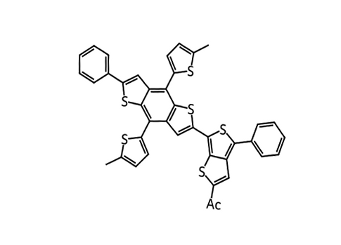 CC(=O)c1cc2c(-c3ccccc3)sc(-c3cc4c(-c5ccc(C)s5)c5sc(-c6ccccc6)cc5c(-c5ccc(C)s5)c4s3)c2s1